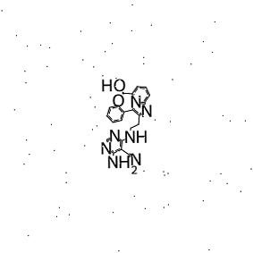 N#Cc1c(N)ncnc1NCCc1nc2cccc(C(=O)O)n2c1-c1ccccc1